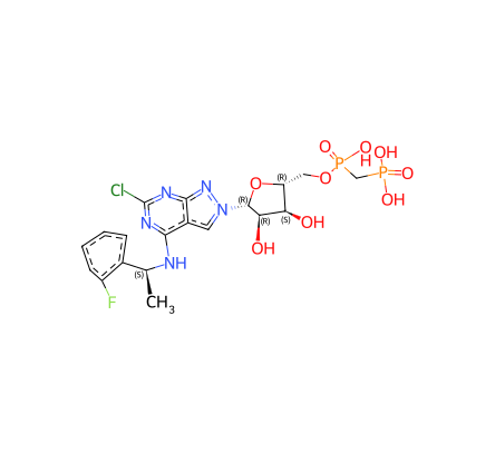 C[C@H](Nc1nc(Cl)nc2nn([C@@H]3O[C@H](COP(=O)(O)CP(=O)(O)O)[C@@H](O)[C@H]3O)cc12)c1ccccc1F